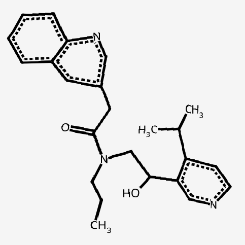 CCCN(CC(O)c1cnccc1C(C)C)C(=O)Cc1cnc2ccccc2c1